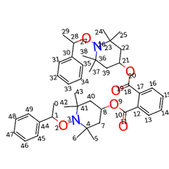 CC(ON1C(C)(C)CC(OC(=O)c2ccccc2C(=O)OC2CC(C)(C)N(OC(C)c3ccccc3)C(C)(C)C2)CC1(C)C)c1ccccc1